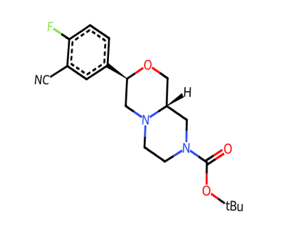 CC(C)(C)OC(=O)N1CCN2C[C@@H](c3ccc(F)c(C#N)c3)OC[C@@H]2C1